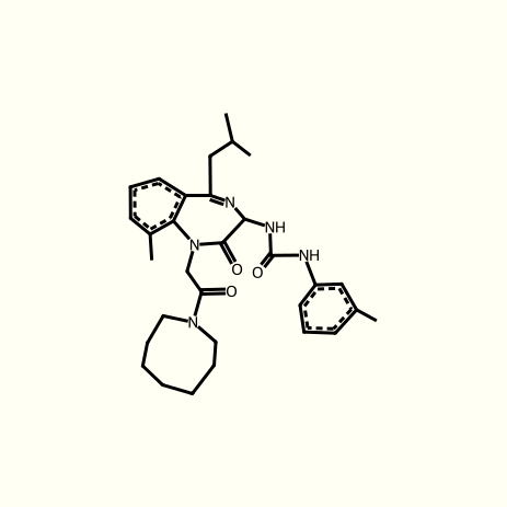 Cc1cccc(NC(=O)NC2N=C(CC(C)C)c3cccc(C)c3N(CC(=O)N3CCCCCCC3)C2=O)c1